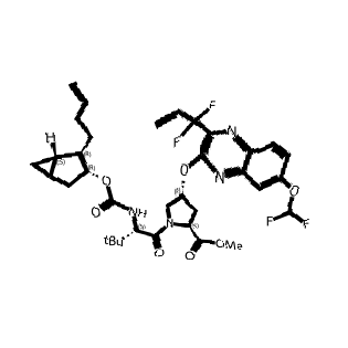 C=CCC[C@H]1[C@H](OC(=O)N[C@H](C(=O)N2C[C@H](Oc3nc4cc(OC(F)F)ccc4nc3C(F)(F)C=C)C[C@H]2C(=O)OC)C(C)(C)C)CC2C[C@@H]21